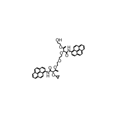 C=C(OCCO)C(OCCOCCOC(=C)C(OC1CC1)C(=O)Nc1ccc2ccc3cccc4ccc1c2c34)C(=O)Nc1ccc2ccc3cccc4ccc1c2c34